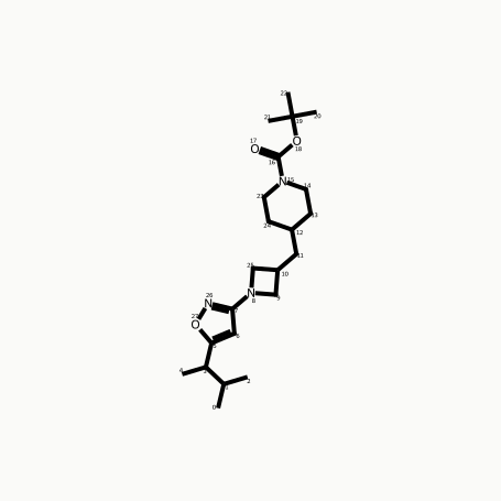 CC(C)C(C)c1cc(N2CC(CC3CCN(C(=O)OC(C)(C)C)CC3)C2)no1